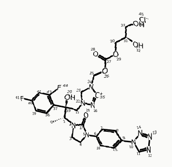 C[C@@H](N1CCN(c2ccc(-n3cnnn3)cc2)C1=O)[C@@](O)(CN1CN(COC(=O)OC[C@H](O)CO)[C+]=N1)c1ccc(F)cc1F.[Cl-]